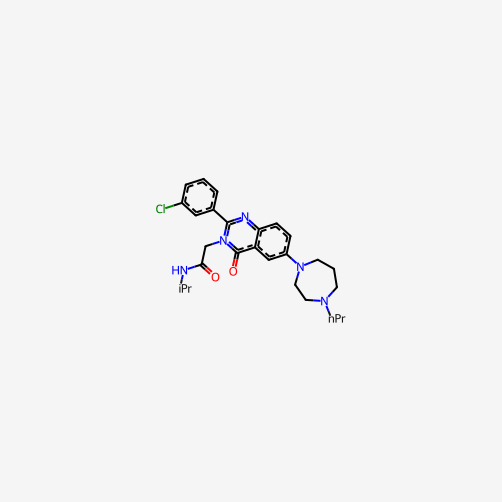 CCCN1CCCN(c2ccc3nc(-c4cccc(Cl)c4)n(CC(=O)NC(C)C)c(=O)c3c2)CC1